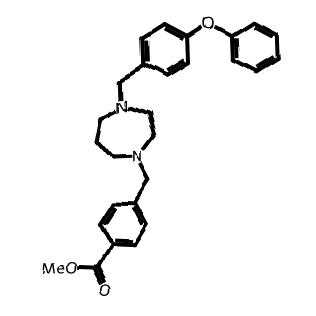 COC(=O)c1ccc(CN2CCCN(Cc3ccc(Oc4ccccc4)cc3)CC2)cc1